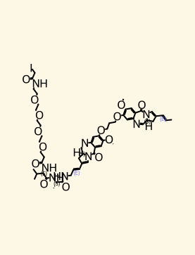 C/C=C/C1=CN2C(=O)c3cc(OC)c(OCCCOc4cc5c(cc4OC)C(=O)N4C=C(/C=C/CNC(=O)[C@H](C)NC(=O)[C@@H](NC(=O)CCOCCOCCOCCOCCNC(=O)CI)C(C)C)C[C@H]4C=N5)cc3N=C[C@@H]2C1